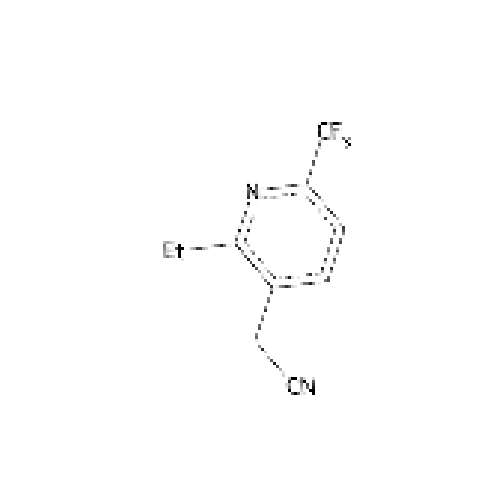 [CH2]Cc1nc(C(F)(F)F)ccc1CC#N